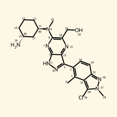 Cc1c(-c2n[nH]c3nc(N(C)[C@@H]4CCC[C@@H](N)C4)c(CO)nc23)ccc2nn(C)c(Cl)c12